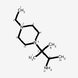 CCN1CCN(C(C)(C)C(C)N)CC1